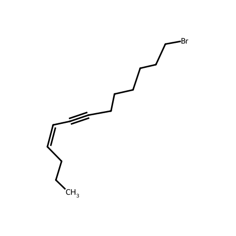 CCC/C=C\C#CCCCCCCBr